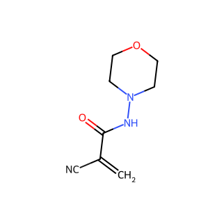 C=C(C#N)C(=O)NN1CCOCC1